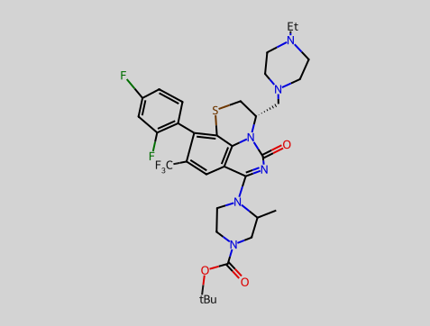 CCN1CCN(C[C@H]2CSc3c(-c4ccc(F)cc4F)c(C(F)(F)F)cc4c(N5CCN(C(=O)OC(C)(C)C)CC5C)nc(=O)n2c34)CC1